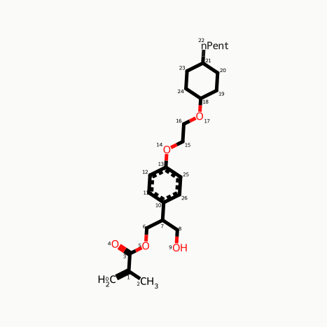 C=C(C)C(=O)OCC(CO)c1ccc(OCCOC2CCC(CCCCC)CC2)cc1